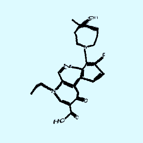 CCn1cc(C(=O)O)c(=O)c2c3ccc(F)c(N4CCC(C)(O)CC4)c3ncc21